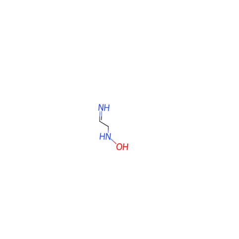 N=CCNO